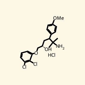 COc1ccc(C(C[C@H](O)COc2cccc(Cl)c2Cl)C(C)(C)N)cc1.Cl